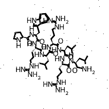 CC(C)C[C@H](NC(=O)[C@H](CCCNC(=N)N)NC(=O)[C@H](CC(C)C)NC(=O)[C@H](CCCNC(=N)N)NC(=O)[C@H](CC(C)C)NC(=O)[C@H](CCCNC(=N)N)NC(=O)[C@H](Cc1c[nH]c2ccccc12)NC(=O)[C@@H]1CCCN1)C(N)=O